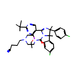 CCOc1nc(C(C)(C)C)ncc1C1=NC(C)(c2ccc(Cl)cc2)C(C)(c2ccc(Cl)cc2)N1C(=O)N1CCN(CCCC#N)CC1